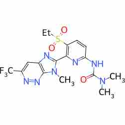 CCS(=O)(=O)c1ccc(NC(=O)N(C)C)nc1-c1nc2cc(C(F)(F)F)nnc2n1C